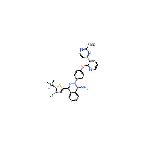 CNc1nccc(-c2cccnc2Oc2ccc(N3N=C(c4cc(Cl)c([Si](C)(C)C)s4)c4ccccc4C3N)cc2)n1